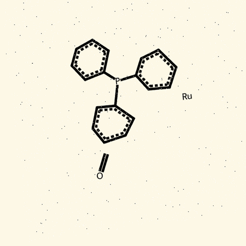 C=O.[Ru].c1ccc(P(c2ccccc2)c2ccccc2)cc1